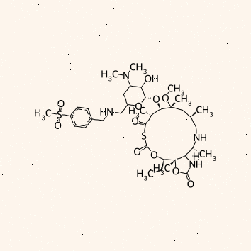 CC[C@H]1OC(=O)SC(=O)[C@H](C)[C@@H](O[C@@H]2OC(CNCc3ccc(S(C)(=O)=O)cc3)CC(N(C)C)C2O)[C@](C)(OC)C[C@@H](C)CN[C@H](C)[C@H]2NC(=O)O[C@@]21C